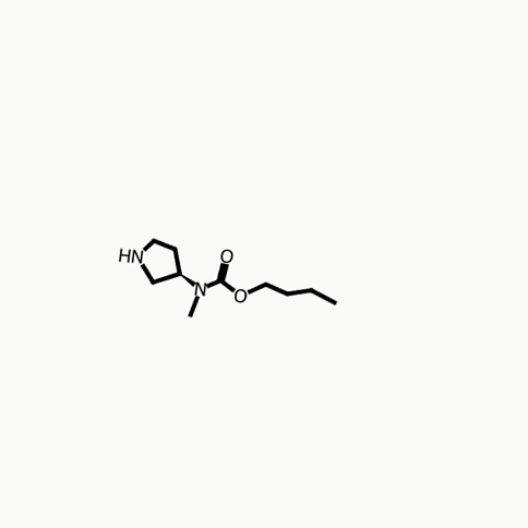 CCCCOC(=O)N(C)[C@@H]1CCNC1